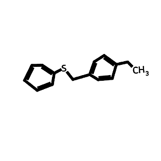 CCc1ccc(CSc2ccccc2)cc1